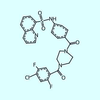 O=C(c1ccc(NS(=O)(=O)c2cccc3cccnc23)cc1)N1CCN(C(=O)c2cc(F)c(Cl)cc2F)CC1